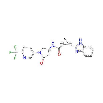 O=C(N[C@H]1CC(=O)N(c2ccc(C(F)(F)F)nc2)C1)[C@H]1C[C@@H]1c1nc2ccccc2[nH]1